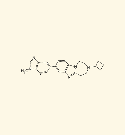 Cn1cnc2cc(-c3ccc4c(c3)nc3n4CCN(C4CCC4)CC3)cnc21